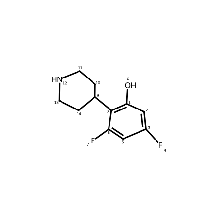 Oc1cc(F)cc(F)c1C1CCNCC1